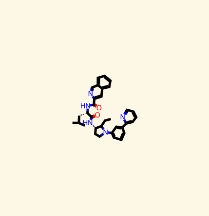 CCC1[C@@H](NC(=O)[C@H](CC(C)C)NC(=O)c2cc3ccccc3cn2)CCN1c1cccc(-c2ccccn2)c1